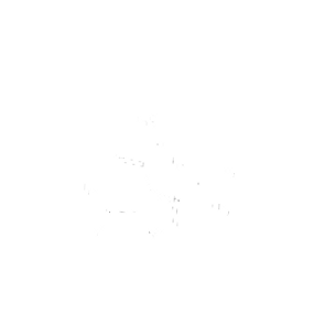 COC(=O)c1c(C(C)=O)ncn1C(C)(C)C